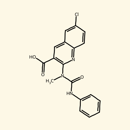 CN(C(=O)Nc1ccccc1)c1nc2ccc(Cl)cc2cc1C(=O)O